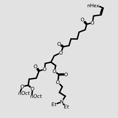 CCCCCC/C=C\COC(=O)CCCCCC(=O)OCC(COC(=O)CCC(OCCCCCCCC)OCCCCCCCC)COC(=O)OCCCN(CC)CC